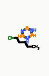 CCCCCCl.n1p[nH][pH][nH][pH]1